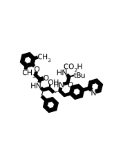 Cc1cccc(C)c1OCC(=O)N[C@@H](Cc1ccccc1)[C@@H](O)C[C@@H](Cc1ccc(-c2ccccn2)cc1)NC(=O)[C@@H](NC(=O)O)C(C)(C)C